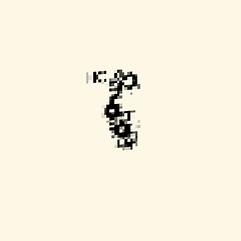 O=C(O)C1CCCCN1C(=O)C=Cc1ccc(Sc2ccc3c(c2)OCCO3)c(C(F)(F)F)c1